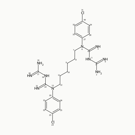 N=C(N)NC(=N)N(CCCCCCN(C(=N)NC(=N)N)c1ccc(Cl)cc1)c1ccc(Cl)cc1